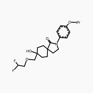 CC(C)Oc1ccc(N2CCC3(CCC(O)(COCC(F)F)CC3)C2=O)cc1